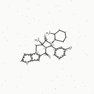 CC1CCCC[C@H]1NC(=O)C1(C)Cn2c(cc3occc32)C(=O)N1Cc1cccc(Cl)c1